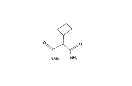 CNC(=O)C(C(N)=O)C1CCC1